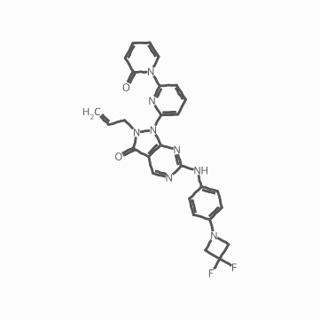 C=CCn1c(=O)c2cnc(Nc3ccc(N4CC(F)(F)C4)cc3)nc2n1-c1cccc(-n2ccccc2=O)n1